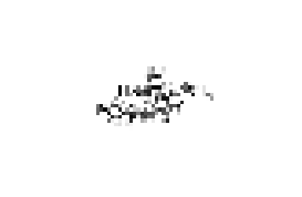 COc1ccc2c(=O)n(CCNS(=O)(=O)c3ccc(F)cc3)c(CN(C)C)c(-c3ccccc3)c2c1